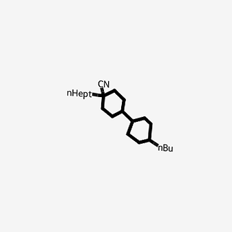 CCCCCCCC1(C#N)CCC(C2CCC(CCCC)CC2)CC1